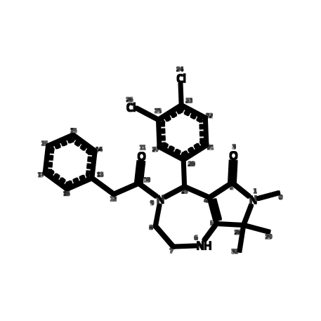 CN1C(=O)C2=C(NCCN(C(=O)Cc3ccccc3)C2c2ccc(Cl)c(Cl)c2)C1(C)C